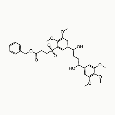 COc1cc(C(O)CCC(O)c2cc(OC)c(OC)c(S(=O)(=O)CCC(=O)OCc3ccccc3)c2)cc(OC)c1OC